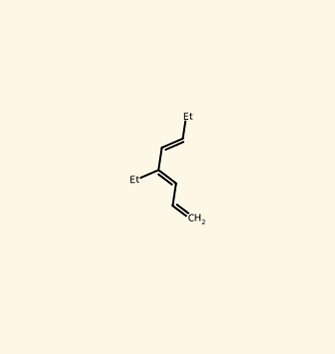 C=CC=C(C=CCC)CC